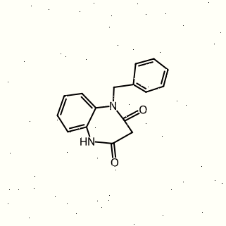 O=C1CC(=O)N(Cc2ccccc2)c2ccccc2N1